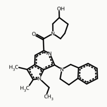 CCn1c(C)c(C)c2cc(C(=O)N3CCCC(O)C3)nc(N3CCc4ccccc4C3)c21